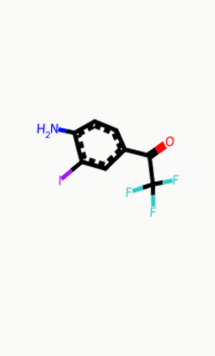 Nc1ccc(C(=O)C(F)(F)F)cc1I